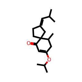 CC(C)C=C1CCC2(C1)C(=O)C=C(OC(C)C)CC2C